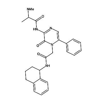 CNC(C)C(=O)Nc1ncc(-c2ccccc2)n(CC(=O)NC2CCCc3ccccc32)c1=O